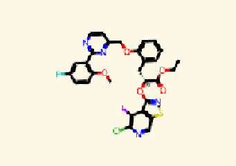 CCOC(=O)[C@@H](Cc1ccccc1OCc1ccnc(-c2cc(F)ccc2OC)n1)Oc1nsc2cnc(Cl)c(I)c12